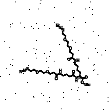 CC(C)(C)OC(=O)[C@H](CCCCNC(=O)CCOCCOCCN=[N+]=[N-])NC(=O)CCCNC(=O)CCOCCOCCN=[N+]=[N-]